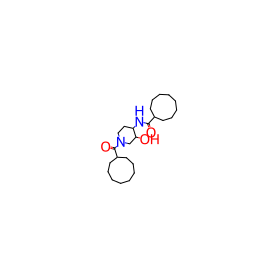 O=C(NC1CCN(C(=O)C2CCCCCCCC2)CC1O)C1CCCCCCCC1